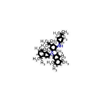 Cc1cc2c(cc1N(c1cc(Nc3ccc(C(C)(C)C)cc3)cc(C(C)(C)C)c1)c1ccc3c(c1)C(C)(C)CCC3(C)C)C(C)(C)CCC2(C)C